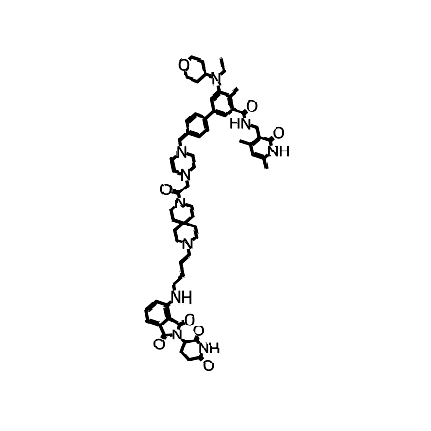 CCN(c1cc(-c2ccc(CN3CCN(CC(=O)N4CCC5(CCN(CCCCNc6cccc7c6C(=O)N(C6CCC(=O)NC6=O)C7=O)CC5)CC4)CC3)cc2)cc(C(=O)NCc2c(C)cc(C)[nH]c2=O)c1C)C1CCOCC1